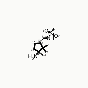 CC1(C)[C@@H](CNS(C)(=O)=O)CC[C@@]1(C)N